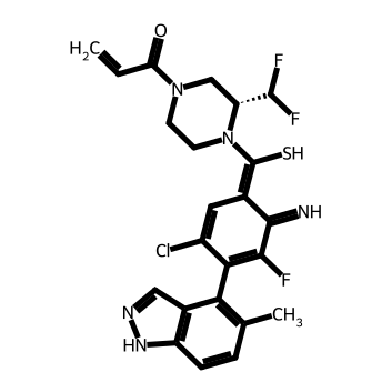 C=CC(=O)N1CCN(/C(S)=C2\C=C(Cl)C(c3c(C)ccc4[nH]ncc34)=C(F)C2=N)[C@@H](C(F)F)C1